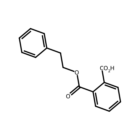 O=C(O)c1ccccc1C(=O)OCCc1ccccc1